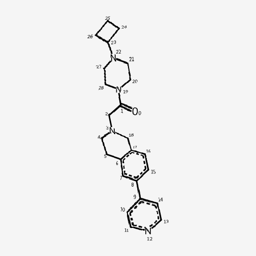 O=C(CN1CCc2cc(-c3ccncc3)ccc2C1)N1CCN(C2CCC2)CC1